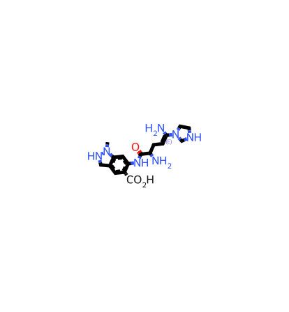 CN1NCc2cc(C(=O)O)c(NC(=O)C(N)C/C=C(\N)N3CCNC3)cc21